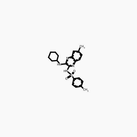 Cc1ccc(S(=O)(=O)Nc2nc3ccc(C)cc3nc2NC2CCCCC2)cc1